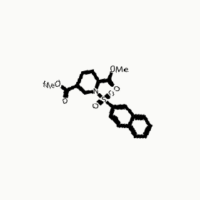 COC(=O)C1CCC(C(=O)OC)N(S(=O)(=O)c2ccc3ccccc3c2)C1